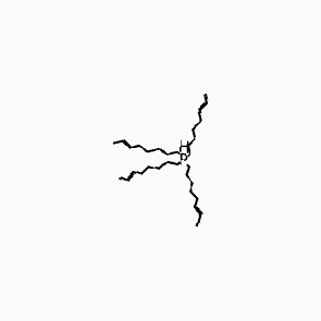 C/C=C/CCCCC[PH](CCCCC/C=C/C)(CCCCC/C=C/C)CCCCC/C=C/C